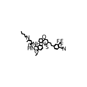 CCC/C=N/C(C)=C/C(=O)NC(=N)c1cc(N2C(=S)C(CCc3ccc(C#N)c(C(F)(F)F)c3)CC(=O)C23CCCC3)ccc1OCC